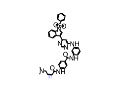 CN(C)C/C=C\C(=O)Nc1ccc(C(=O)Nc2cccc(Nc3cc(-c4cn(S(=O)(=O)c5ccccc5)c5ccccc45)ncn3)c2)cc1